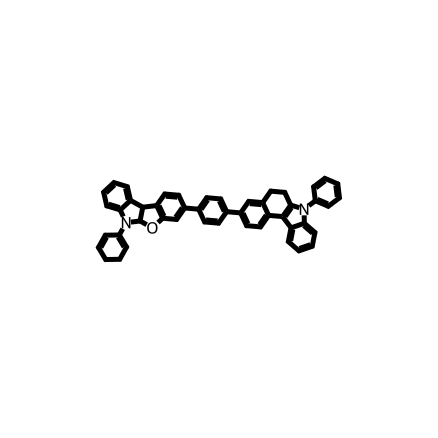 C1=CC(N2c3ccccc3C3c4ccc(-c5ccc(-c6ccc7c(c6)CCc6c-7c7ccccc7n6-c6ccccc6)cc5)cc4OC32)=CCC1